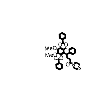 COc1c(OC(=O)c2ccccc2)c(C)c(C(CCC(=O)N2CCSCC2)c2ccccc2)c(OC(=O)c2ccccc2)c1OC